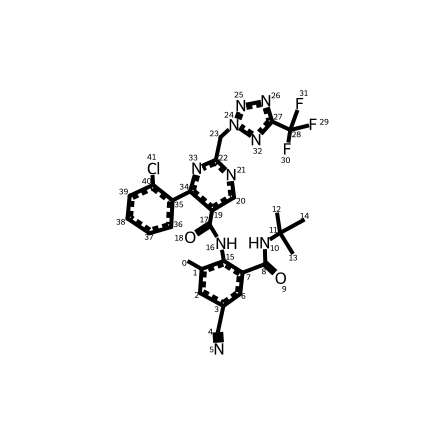 Cc1cc(C#N)cc(C(=O)NC(C)(C)C)c1NC(=O)c1cnc(Cn2nnc(C(F)(F)F)n2)nc1-c1ccccc1Cl